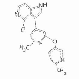 Cc1cc(-c2c[nH]c3ccnc(Cl)c23)cc(Oc2ccc(C(F)(F)F)nc2)n1